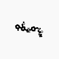 COCc1cc(-c2nc(-c3ccc(CN(C)CC(=O)OC(C)(C)C)cc3)no2)ccc1-c1ccccc1C